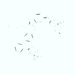 CCCCc1nc2c(n1Cc1ccc(-c3ccccc3C(=O)OC(C)(C)C)cc1)CC(=NC(=O)CC(C)(C)CC=O)C=C2